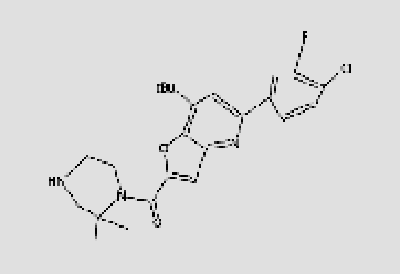 CC(C)(C)c1cc(-c2ccc(Cl)c(F)c2)nc2cc(C(=O)N3CCNCC3(C)C)oc12